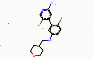 Nc1cc(-c2cc(NCC3CCOCC3)ccc2F)c(Cl)cn1